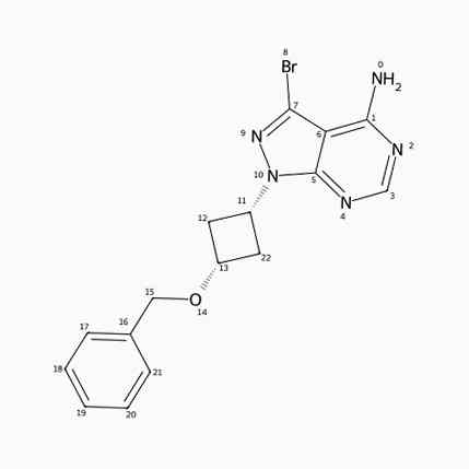 Nc1ncnc2c1c(Br)nn2[C@H]1C[C@@H](OCc2ccccc2)C1